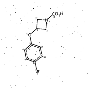 O=C(O)N1CC(Oc2ccc(Br)nc2)C1